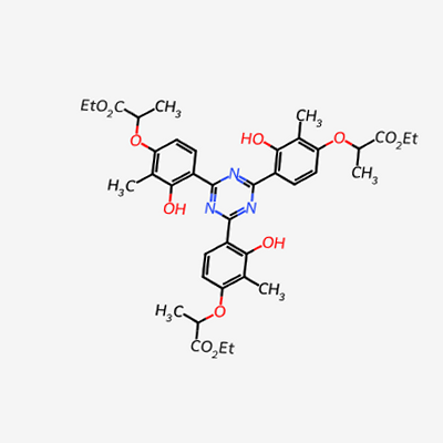 CCOC(=O)C(C)Oc1ccc(-c2nc(-c3ccc(OC(C)C(=O)OCC)c(C)c3O)nc(-c3ccc(OC(C)C(=O)OCC)c(C)c3O)n2)c(O)c1C